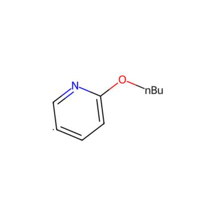 CCCCOc1cc[c]cn1